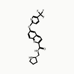 O=C(NC[C@H]1CCCN1)c1ccc2cc(Oc3ccc(C(F)(F)F)cn3)ccc2n1